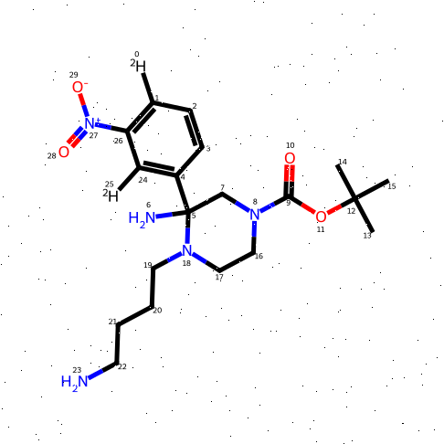 [2H]c1ccc(C2(N)CN(C(=O)OC(C)(C)C)CCN2CCCCN)c([2H])c1[N+](=O)[O-]